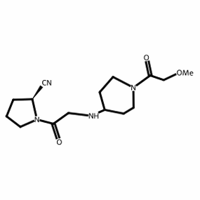 COCC(=O)N1CCC(NCC(=O)N2CCC[C@H]2C#N)CC1